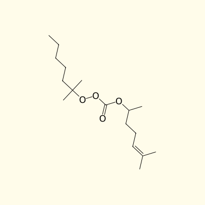 CCCCCC(C)(C)OOC(=O)OC(C)CCC=C(C)C